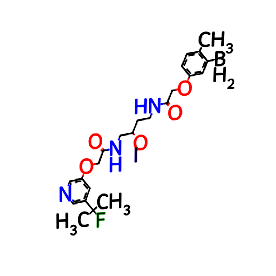 Bc1cc(OCC(=O)NCCC(CNC(=O)COc2cncc(C(C)(C)F)c2)OI)ccc1C